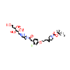 CC(C)OC(=O)N1CCC2(CC1)CC2CCCOc1ccc(CC(=O)N2CC(CNC[C@H](O)[C@@H](O)[C@H](O)CCO)C2)c(F)c1